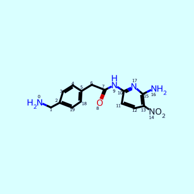 NCc1ccc(CC(=O)Nc2ccc([N+](=O)[O-])c(N)n2)cc1